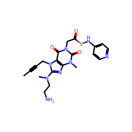 CC#CCn1c(N(C)CCN)nc2c1c(=O)n(CC(=O)SNc1ccncc1)c(=O)n2C